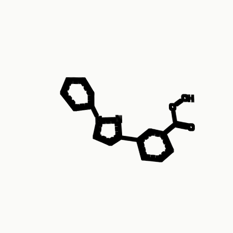 O=C(OO)c1cccc(-c2ccn(-c3ccccc3)n2)c1